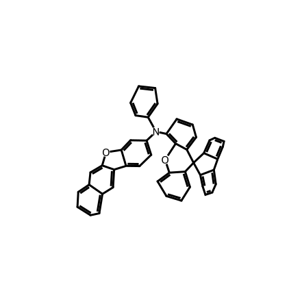 c1ccc(N(c2ccc3c(c2)oc2cc4ccccc4cc23)c2cccc3c2Oc2ccccc2C32c3ccccc3-c3ccccc32)cc1